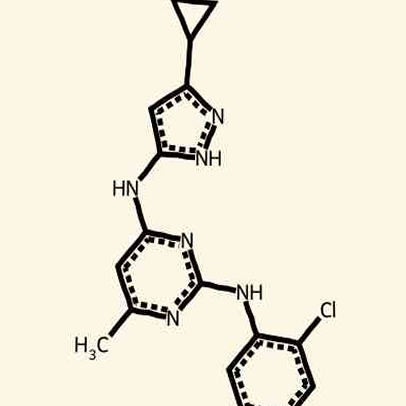 Cc1cc(Nc2cc(C3CC3)n[nH]2)nc(Nc2ccccc2Cl)n1